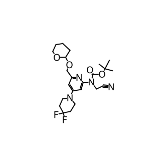 CC(C)(C)OC(=O)N(CC#N)c1cc(N2CCC(F)(F)CC2)cc(COC2CCCCO2)n1